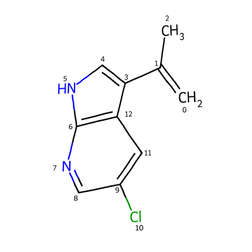 C=C(C)c1c[nH]c2ncc(Cl)cc12